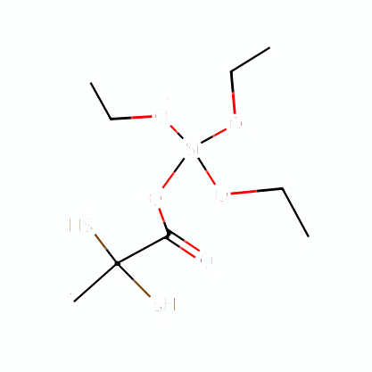 CCO[Si](OCC)(OCC)OC(=O)C(C)(S)S